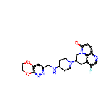 O=c1ccc2ncc(F)c3c2n1CC(N1CCC(NCc2cc4c(nn2)OCCO4)CC1)C3